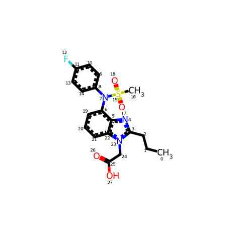 CCCc1nc2c(N(c3ccc(F)cc3)S(C)(=O)=O)cccc2n1CC(=O)O